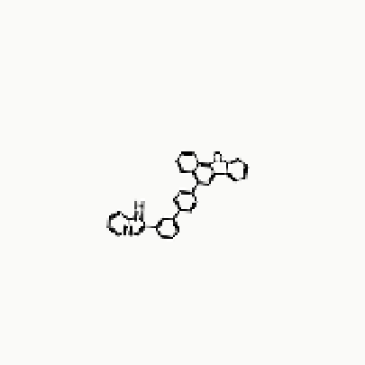 C1=CC2NC(c3cccc(-c4ccc(-c5cc6c7ccccc7oc6c6ccccc56)cc4)c3)=CN2C=C1